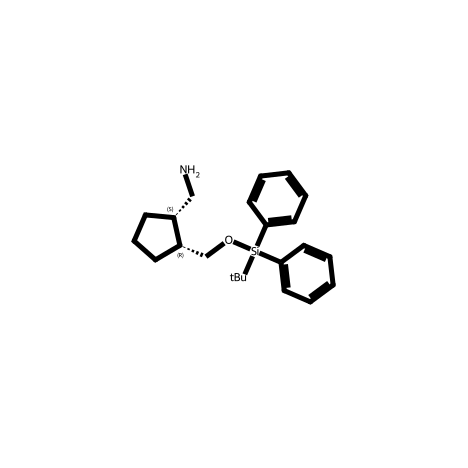 CC(C)(C)[Si](OC[C@@H]1CCC[C@@H]1CN)(c1ccccc1)c1ccccc1